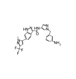 Cn1nc(C(F)(F)F)cc1-c1ccc2c(C(=O)Nc3cnn(Cc4cccc(N)c4)c3)n[nH]c2c1